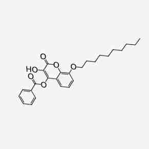 CCCCCCCCCCOc1cccc2c(OC(=O)c3ccccc3)c(O)c(=O)oc12